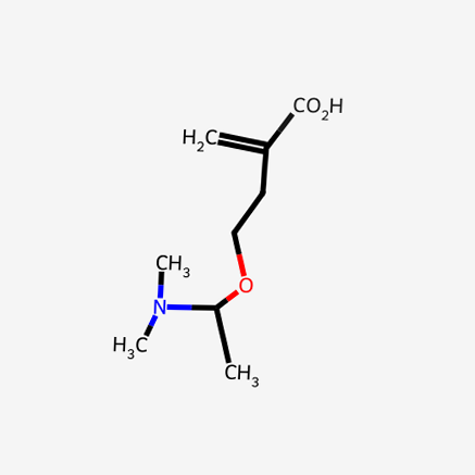 C=C(CCOC(C)N(C)C)C(=O)O